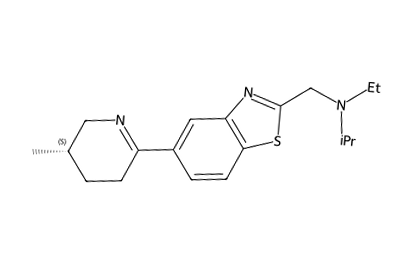 CCN(Cc1nc2cc(C3=NC[C@@H](C)CC3)ccc2s1)C(C)C